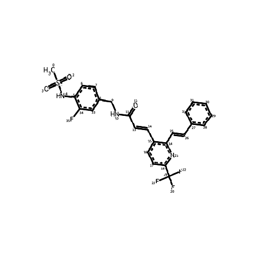 CS(=O)(=O)Nc1ccc(CNC(=O)C=Cc2ccc(C(F)(F)F)nc2C=Cc2ccccc2)cc1F